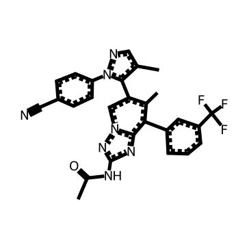 CC(=O)Nc1nc2c(-c3cccc(C(F)(F)F)c3)c(C)c(-c3c(C)cnn3-c3ccc(C#N)cc3)cn2n1